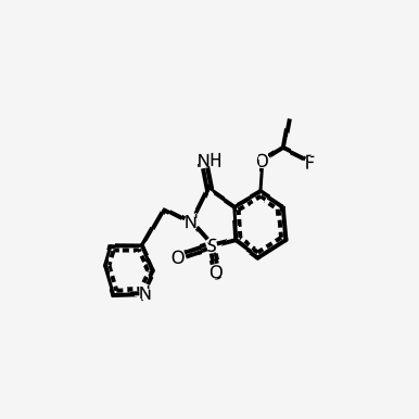 CC(F)Oc1cccc2c1C(=N)N(Cc1cccnc1)S2(=O)=O